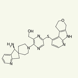 N[C@@H]1c2cccnc2CC12CCN(c1ncc(Sc3ccnc4[nH]c5c(c34)CCOC5)nc1CO)CC2